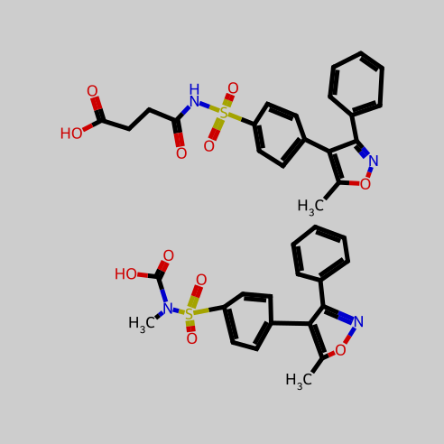 Cc1onc(-c2ccccc2)c1-c1ccc(S(=O)(=O)N(C)C(=O)O)cc1.Cc1onc(-c2ccccc2)c1-c1ccc(S(=O)(=O)NC(=O)CCC(=O)O)cc1